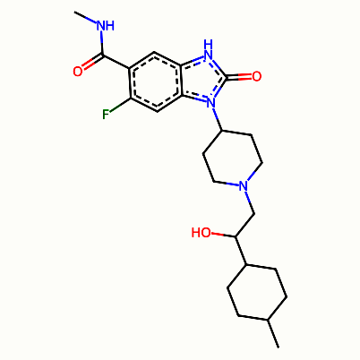 CNC(=O)c1cc2[nH]c(=O)n(C3CCN(CC(O)C4CCC(C)CC4)CC3)c2cc1F